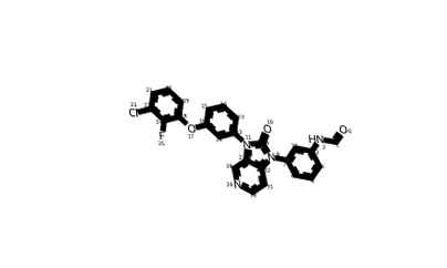 O=CNc1cccc(-n2c(=O)n(-c3cccc(Oc4cccc(Cl)c4F)c3)c3cnccc32)c1